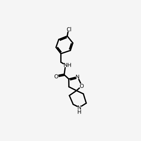 O=C(NCc1ccc(Cl)cc1)C1=NOC2(CCNCC2)C1